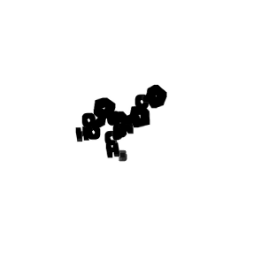 CCON=C(COc1ccccc1CC(=O)O)c1cccc(Oc2ccccc2)c1